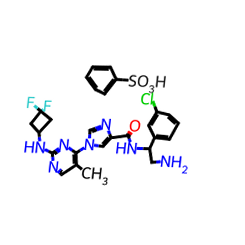 Cc1cnc(NC2CC(F)(F)C2)nc1-n1cnc(C(=O)NC(CN)c2cccc(Cl)c2)c1.O=S(=O)(O)c1ccccc1